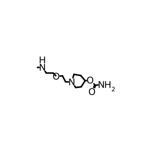 CNCCOCCN1CCC(OC(N)=O)CC1